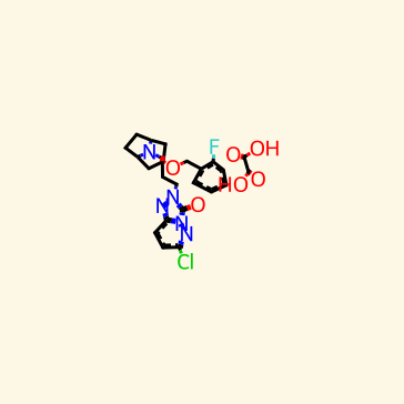 O=C(O)C(=O)O.O=c1n(CCCN2C3CCC2CC(OCc2ccccc2F)C3)nc2ccc(Cl)nn12